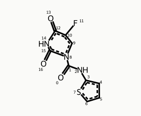 O=C(Nc1cccs1)n1cc(F)c(=O)[nH]c1=O